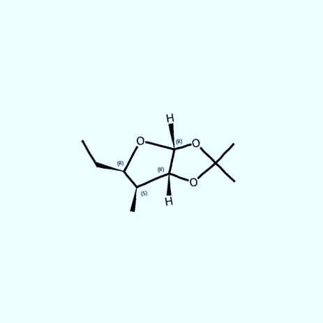 CC[C@H]1O[C@@H]2OC(C)(C)O[C@@H]2[C@H]1C